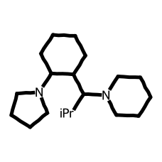 CC(C)C(C1CCCCC1N1CCCC1)N1CCCCC1